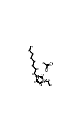 CC(=O)[O-].CCCCCCCCn1cc[n+](CC)c1